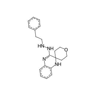 c1ccc(CCNNC2=Nc3ccccc3NC23CCOCC3)cc1